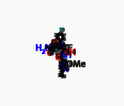 COc1cc(C(=O)NCC(O)(c2cc3c(c(-c4ccc(F)cc4)n2)OCC3(C(N)=O)C(F)F)C(F)(F)F)cn2cc(C3CC3)nc12